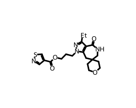 CCc1nn(CCCOC(=O)c2cnsc2)c2c1C(=O)NCC1(CCOCC1)C2